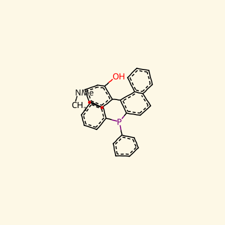 CNC.Oc1ccccc1-c1c(P(c2ccccc2)c2ccccc2)ccc2ccccc12